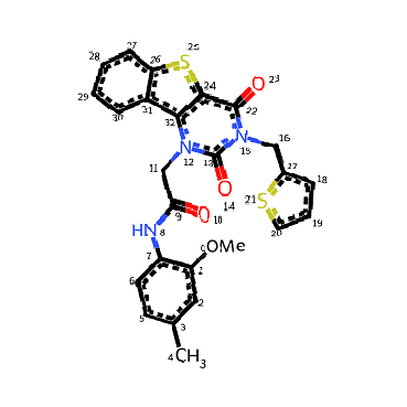 COc1cc(C)ccc1NC(=O)Cn1c(=O)n(Cc2cccs2)c(=O)c2sc3ccccc3c21